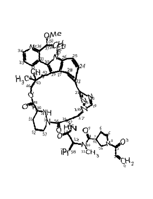 C=CC(=O)N1CC[C@H](C(=O)N(C)C(C(=O)N[C@H]2Cn3cnc(n3)-c3ccc4c(c3)c(c(-c3cccnc3[C@H](C)OC)n4CC)CC(C)(C)COC(=O)[C@@H]3CCCN(N3)C2=O)C(C)C)C1